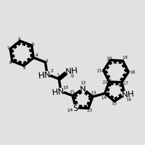 N=C(NCc1ccccc1)Nc1nc(-c2c[nH]c3ccccc23)cs1